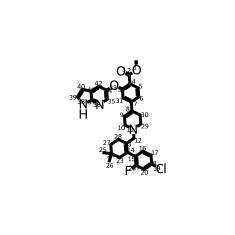 COC(=O)c1ccc(C2=CCN(CC3=C(c4ccc(Cl)cc4F)CC(C)(C)CC3)CC2)cc1Oc1cnc2[nH]ccc2c1